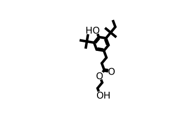 CCC(C)(C)c1cc(CCC(=O)OCCO)cc(C(C)(C)C)c1O